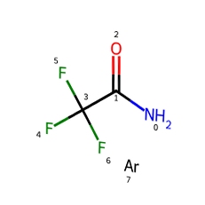 NC(=O)C(F)(F)F.[Ar]